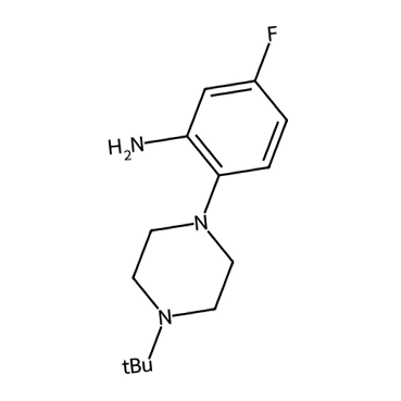 CC(C)(C)N1CCN(c2ccc(F)cc2N)CC1